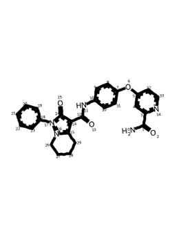 NC(=O)c1cc(Oc2ccc(NC(=O)c3c4n(n(-c5ccccc5)c3=O)CCCC4)cc2)ccn1